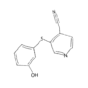 N#Cc1ccncc1Sc1cccc(O)c1